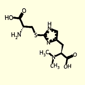 CN(C)[C@@H](Cc1c[nH]c(SC[C@H](N)C(=O)O)n1)C(=O)O